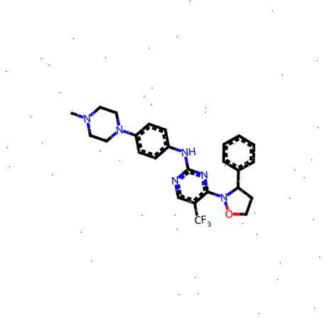 CN1CCN(c2ccc(Nc3ncc(C(F)(F)F)c(N4OCCC4c4ccccc4)n3)cc2)CC1